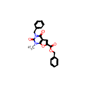 Cn1c(=O)n(Cc2ccccc2)c(=O)c2cc(C(=O)OCc3ccccc3)oc21